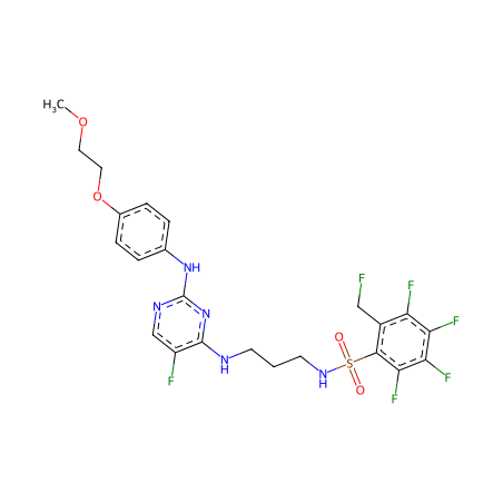 COCCOc1ccc(Nc2ncc(F)c(NCCCNS(=O)(=O)c3c(F)c(F)c(F)c(F)c3CF)n2)cc1